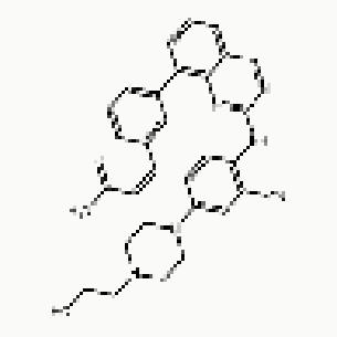 N#Cc1cc(N2CCN(CCO)CC2)ccc1Nc1ncc2cccc(-c3cccc(C=CC(N)=O)c3)c2n1